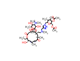 CC[C@H]1OC(=O)C[C@@H](O)[C@H](C)[C@@H](O[C@@H]2O[C@H](C)[C@@H](O)C(N(C)C)C2O)[C@@H](CCN(C)Cc2cn(CC3O[C@H](COC(C)=O)[C@@H](OC(C)=O)[C@H](C)[C@H]3C)nn2)C[C@@H](C)C(=O)/C=C/C(C)=C/[C@@H]1CO